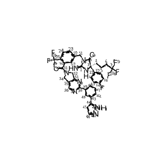 N=C1N[C@](CCCC(F)(F)F)(c2ccc(F)cc2)C(=O)N1Cc1ccc(C(F)(F)F)c(C(=O)N2Cc3cnc(-c4cccc(-c5ccn[nH]5)c4)nc3C2)c1